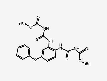 CCCCOC(=O)NC(=S)Nc1ccc(Sc2ccccc2)cc1NC(=S)NC(=O)OCCCC